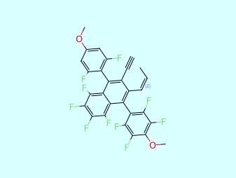 C#Cc1c(/C=C\C)c(-c2c(F)c(F)c(OC)c(F)c2F)c2c(F)c(F)c(F)c(F)c2c1-c1c(F)cc(OC)cc1F